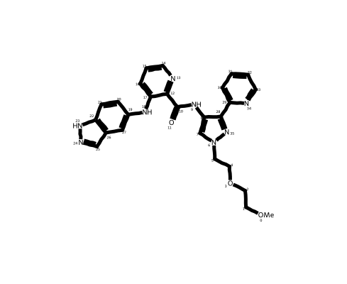 COCCOCCn1cc(NC(=O)c2ncccc2Nc2ccc3[nH]ncc3c2)c(-c2ccccn2)n1